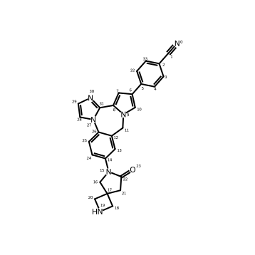 N#Cc1ccc(-c2cc3n(c2)Cc2cc(N4CC5(CNC5)CC4=O)ccc2-n2ccnc2-3)cc1